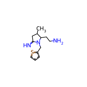 CC1CC(=N)N(Cc2cccs2)C1CCN